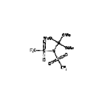 CO[Si](OC)(OC)N(S(=O)(=O)C(F)(F)F)S(=O)(=O)C(F)(F)F